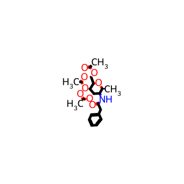 CC(=O)OCC1O[C@@H](C)C(NC(=O)Cc2ccccc2)[C@@H](OC(C)=O)[C@@H]1OC(C)=O